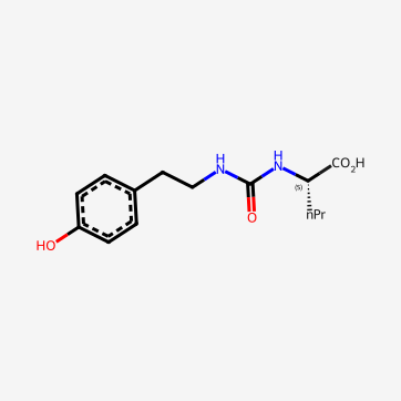 CCC[C@H](NC(=O)NCCc1ccc(O)cc1)C(=O)O